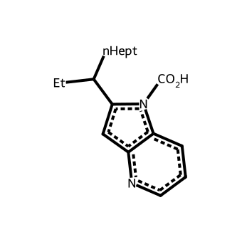 CCCCCCCC(CC)c1cc2ncccc2n1C(=O)O